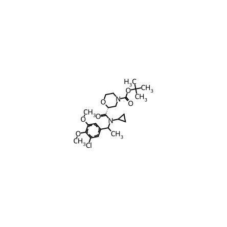 COc1cc(C(C)N(C(=O)[C@H]2CN(C(=O)OC(C)(C)C)CCO2)C2CC2)cc(Cl)c1OC